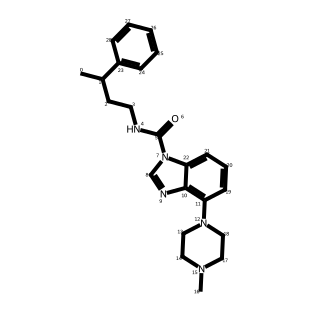 CC(CCNC(=O)n1cnc2c(N3CCN(C)CC3)cccc21)c1ccccc1